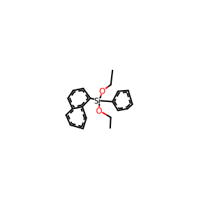 CCO[Si](OCC)(c1ccccc1)c1cccc2ccccc12